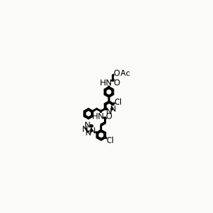 CC(=O)OCC(=O)Nc1ccc(-c2cc(C(Cc3ccccc3)NC(=O)/C=C/c3cc(Cl)ccc3-n3cnnn3)nnc2Cl)cc1